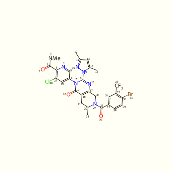 CNC(=O)c1ncc(-n2c(-n3nc(C)cc3C)nc3c(c2=O)CC(C)N(C(=O)c2ccc(Br)c(C(F)(F)F)c2)C3)cc1Cl